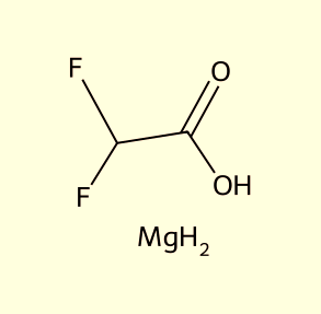 O=C(O)C(F)F.[MgH2]